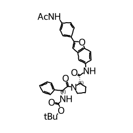 CC(=O)Nc1ccc(-c2cc3cc(NC(=O)[C@@H]4CCCN4C(=O)[C@H](NC(=O)OC(C)(C)C)c4ccccc4)ccc3o2)cc1